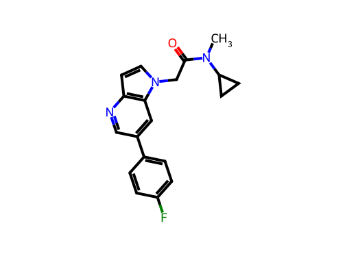 CN(C(=O)Cn1ccc2ncc(-c3ccc(F)cc3)cc21)C1CC1